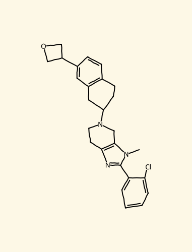 Cn1c(-c2ccccc2Cl)nc2c1CN(C1CCc3ccc(C4COC4)cc3C1)CC2